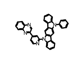 c1ccc(-n2c3ccccc3c3cc4c(cc32)c2ccccc2n4-c2cc(-c3cnc4ccccc4n3)ccn2)cc1